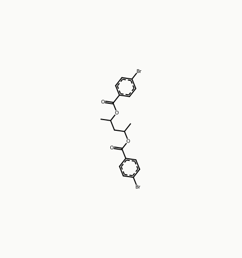 CC(CC(C)OC(=O)c1ccc(Br)cc1)OC(=O)c1ccc(Br)cc1